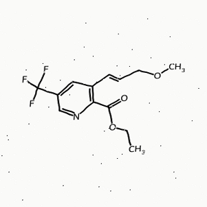 CCOC(=O)c1ncc(C(F)(F)F)cc1/C=C/COC